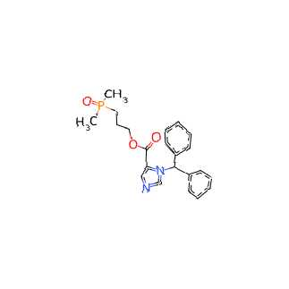 CP(C)(=O)CCCOC(=O)c1cncn1C(c1ccccc1)c1ccccc1